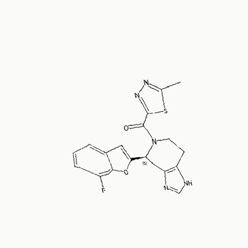 Cc1nnc(C(=O)N2CCc3[nH]cnc3[C@H]2c2cc3cccc(F)c3o2)s1